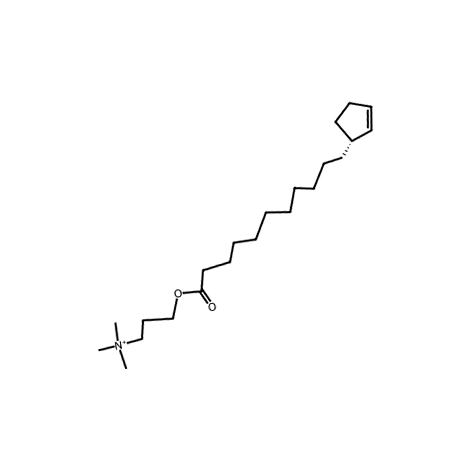 C[N+](C)(C)CCCOC(=O)CCCCCCCCCC[C@H]1C=CCC1